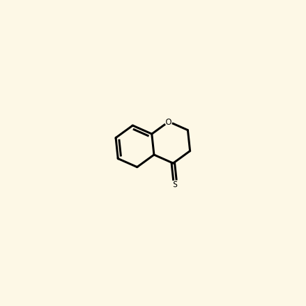 S=C1CCOC2=CC=CCC12